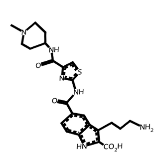 CN1CCC(NC(=O)c2csc(NC(=O)c3ccc4[nH]c(C(=O)O)c(CCCN)c4c3)n2)CC1